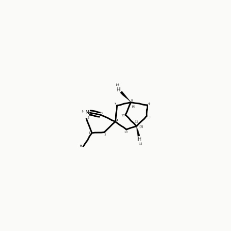 CC(C)CC1(C#N)C[C@@H]2CC[C@@H](C2)C1